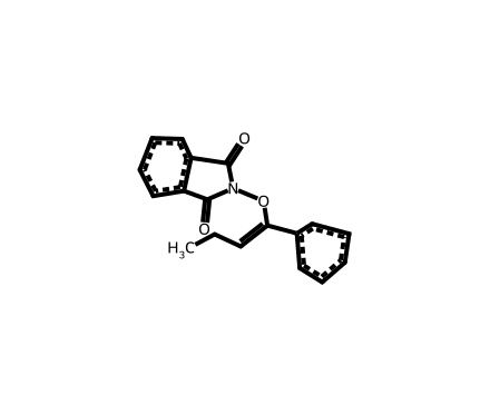 CC/C=C(\ON1C(=O)c2ccccc2C1=O)c1ccccc1